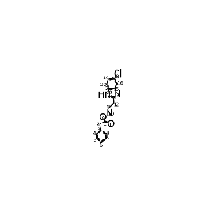 O=C(Cc1ccccc1)ON=CCc1nc2cc(Cl)ccc2[nH]1